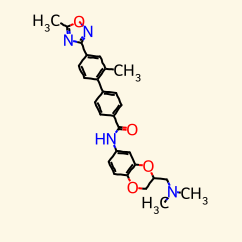 Cc1nc(-c2ccc(-c3ccc(C(=O)Nc4ccc5c(c4)OC(CN(C)C)CO5)cc3)c(C)c2)no1